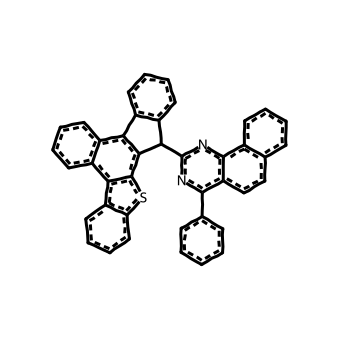 c1ccc(-c2nc(C3c4ccccc4-c4c3c3sc5ccccc5c3c3ccccc43)nc3c2ccc2ccccc23)cc1